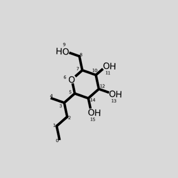 CCCC(C)C1OC(CO)C(O)C(O)C1O